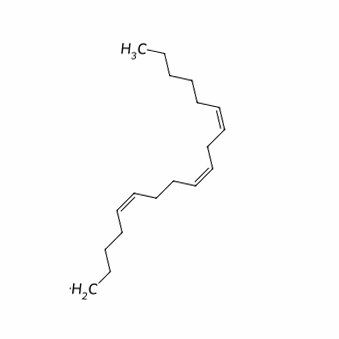 [CH2]CCC/C=C\CC/C=C\C/C=C\CCCCC